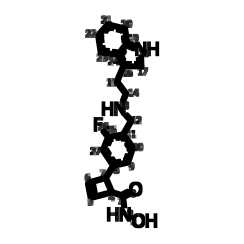 O=C(NO)C1C#CC1c1ccc(CNCCc2c[nH]c3ccccc23)c(F)c1